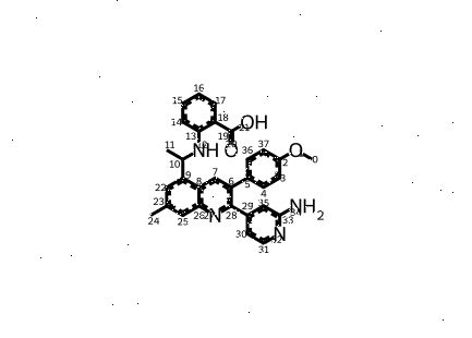 COc1ccc(-c2cc3c(C(C)Nc4ccccc4C(=O)O)cc(C)cc3nc2-c2ccnc(N)c2)cc1